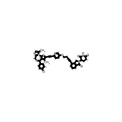 Cc1c(C#Cc2ccc(OCCC#Cc3cccc4c3CN(C3CCC(=O)NC3=O)C4=O)cn2)sc2c1C(c1ccc(Cl)cc1)=NCc1nnc(C)n1-2